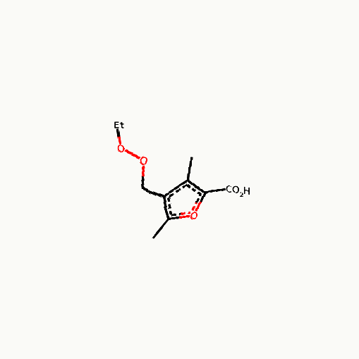 CCOOCc1c(C)oc(C(=O)O)c1C